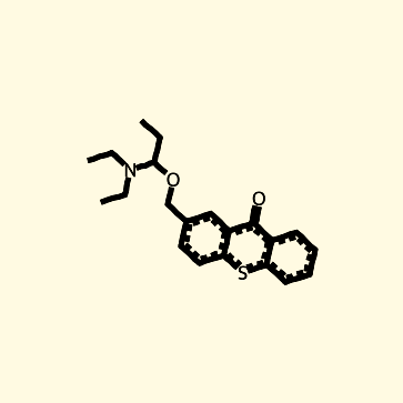 CCC(OCc1ccc2sc3ccccc3c(=O)c2c1)N(CC)CC